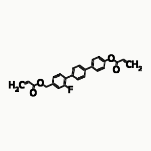 C=CC(=O)OCc1ccc(-c2ccc(-c3ccc(OC(=O)C=C)cc3)cc2)c(F)c1